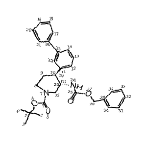 CC(C)(C)OC(=O)N1CC[C@@H](c2cccc(-c3ccccc3)c2)[C@H](NC(=O)OCc2ccccc2)C1